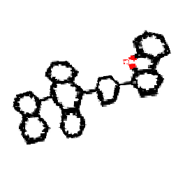 C1=C(c2c3ccccc3c(-c3cccc4ccccc34)c3ccccc23)CCC(c2cccc3c2oc2ccccc23)=C1